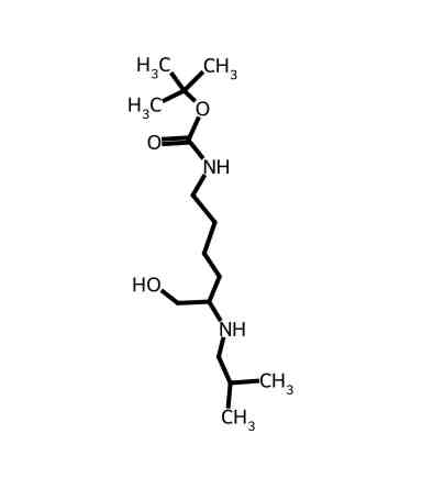 CC(C)CNC(CO)CCCCNC(=O)OC(C)(C)C